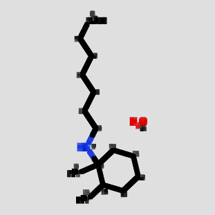 CCCCCCCCCCCCCCCCNC1(CCC)CCCCC1CCC.O